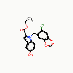 CCOC(=O)c1cc2cc(O)ccc2n1Cc1cc2c(cc1Cl)OCO2